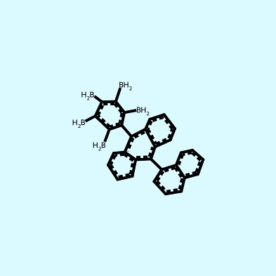 Bc1c(B)c(B)c(-c2c3ccccc3c(-c3cccc4ccccc34)c3ccccc23)c(B)c1B